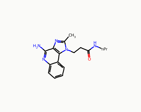 CCCNC(=O)CCn1c(C)nc2c(N)nc3ccccc3c21